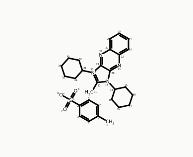 Cc1ccc(S(=O)(=O)[O-])cc1.Cc1n(C2CCCCC2)c2nc3ccccc3nc2[n+]1C1CCCCC1